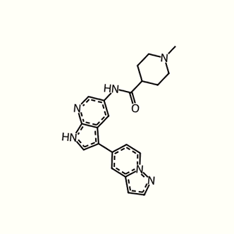 CN1CCC(C(=O)Nc2cnc3[nH]cc(-c4ccn5nccc5c4)c3c2)CC1